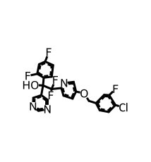 OC(c1cncnc1)(c1ccc(F)cc1F)C(F)(F)c1ccc(OCc2ccc(Cl)c(F)c2)cn1